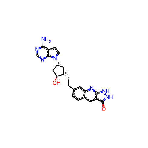 Nc1ncnc2c1ccn2[C@@H]1C[C@H](CCc2ccc3cc4c(=O)[nH][nH]c4nc3c2)[C@@H](O)C1